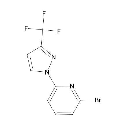 FC(F)(F)c1ccn(-c2cccc(Br)n2)n1